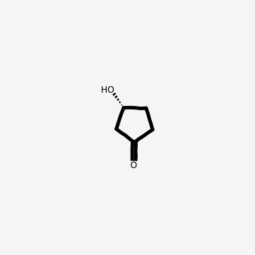 O=C1CC[C@@H](O)C1